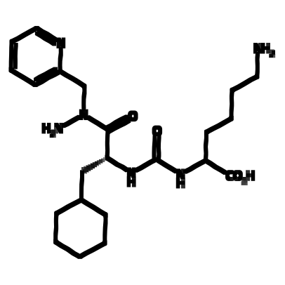 NCCCCC(NC(=O)N[C@H](CC1CCCCC1)C(=O)N(N)Cc1ccccn1)C(=O)O